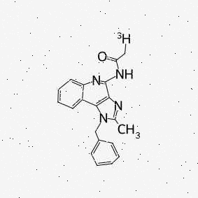 [3H]CC(=O)Nc1nc2ccccc2c2c1nc(C)n2Cc1ccccc1